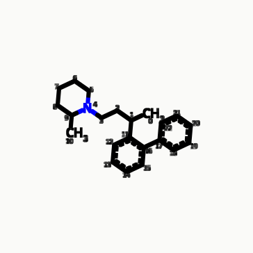 CC(CCN1CCCCC1C)c1ccccc1-c1ccccc1